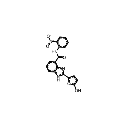 O=C(Nc1ccccc1[N+](=O)[O-])c1cccc2[nH]c(-c3ccc(O)o3)nc12